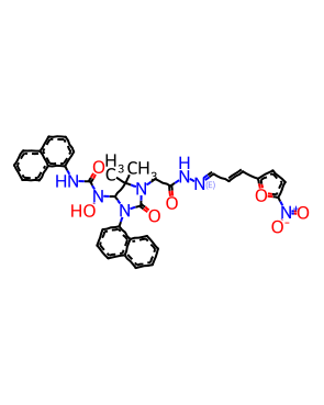 CC1(C)C(N(O)C(=O)Nc2cccc3ccccc23)N(c2cccc3ccccc23)C(=O)N1CC(=O)N/N=C/C=Cc1ccc([N+](=O)[O-])o1